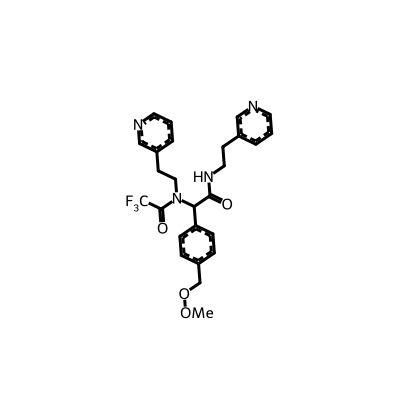 COOCc1ccc(C(C(=O)NCCc2cccnc2)N(CCc2cccnc2)C(=O)C(F)(F)F)cc1